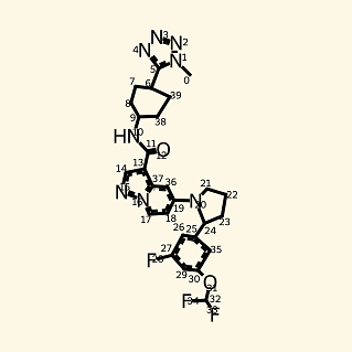 Cn1nnnc1C1CCC(NC(=O)c2cnn3ccc(N4CCCC4c4cc(F)cc(OC(F)F)c4)cc23)CC1